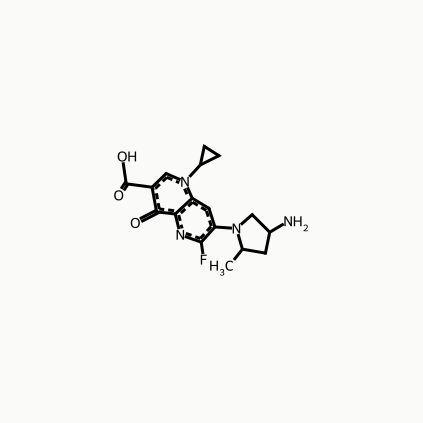 CC1CC(N)CN1c1cc2c(nc1F)c(=O)c(C(=O)O)cn2C1CC1